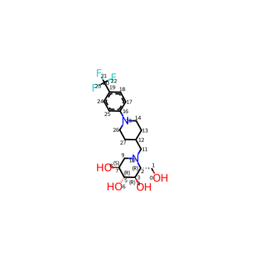 OC[C@@H]1[C@@H](O)[C@H](O)[C@@H](O)CN1CC1CCN(c2ccc(C(F)(F)F)cc2)CC1